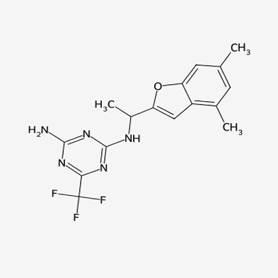 Cc1cc(C)c2cc(C(C)Nc3nc(N)nc(C(F)(F)F)n3)oc2c1